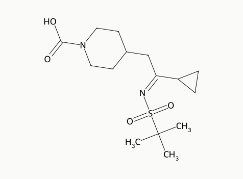 CC(C)(C)S(=O)(=O)N=C(CC1CCN(C(=O)O)CC1)C1CC1